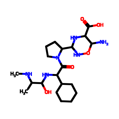 CNC(C)C(O)NC(C(=O)N1CCCC1C1NOC(N)C(C(=O)O)N1)C1CCCCC1